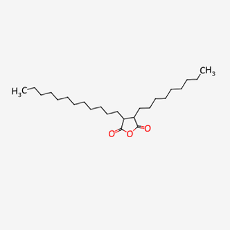 CCCCCCCCCCCCC1C(=O)OC(=O)C1CCCCCCCCC